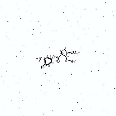 Cc1cc(NC(=O)[C@H]2CCN(C(=O)O)C2CC(C)C)ccc1F